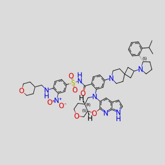 CC(C)c1ccccc1[C@@H]1CCCN1C1CC2(CCN(c3ccc(C(=O)NS(=O)(=O)c4ccc(NCC5CCOCC5)c([N+](=O)[O-])c4)c(N4C[C@H]5CCOC[C@H]5Oc5nc6[nH]ccc6cc54)c3)CC2)C1